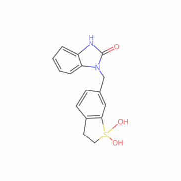 O=c1[nH]c2ccccc2n1Cc1ccc2c(c1)S(O)(O)CC2